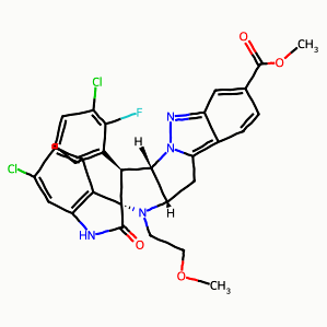 COCCN1[C@H]2Cc3c4ccc(C(=O)OC)cc4nn3[C@H]2[C@H](c2cccc(Cl)c2F)[C@]12C(=O)Nc1cc(Cl)ccc12